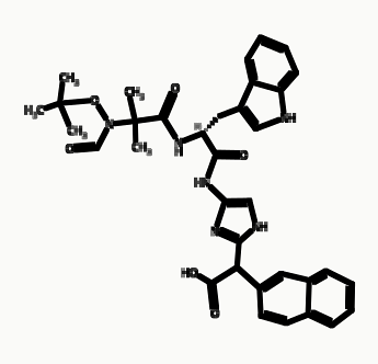 CC(C)(C)ON(C=O)C(C)(C)C(=O)N[C@H](Cc1c[nH]c2ccccc12)C(=O)Nc1c[nH]c(C(C(=O)O)c2ccc3ccccc3c2)n1